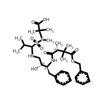 CC(C)C(NC[C@@H](O)[C@H](Cc1ccccc1)NC(=O)[C@H](C)C(C)(C)C(=O)OCc1ccccc1)S(=O)(=O)N(C)C(C)(C)C(=O)O